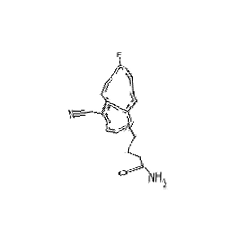 N#Cc1cn(C[CH]CC(N)=O)c2ccc(F)cc12